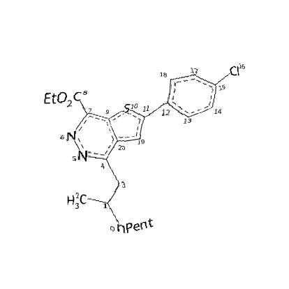 CCCCCC(C)Cc1nnc(C(=O)OCC)c2sc(-c3ccc(Cl)cc3)cc12